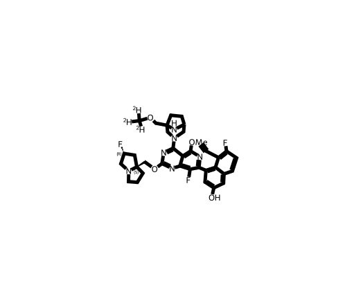 [2H]C([2H])([2H])OCC12CCC(CN(c3nc(OC[C@@]45CCCN4C[C@H](F)C5)nc4c(F)c(-c5cc(O)cc6ccc(F)c(C#C)c56)nc(OC)c34)C1)N2